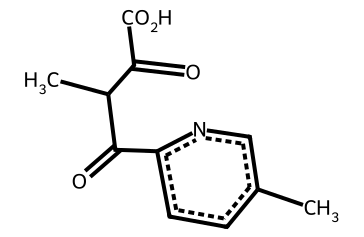 Cc1ccc(C(=O)C(C)C(=O)C(=O)O)nc1